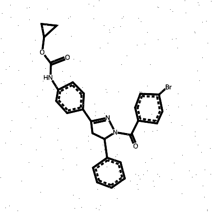 O=C(Nc1ccc(C2=NN(C(=O)c3ccc(Br)cc3)C(c3ccccc3)C2)cc1)OC1CC1